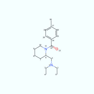 CCN(CC)CC1CCCCN1C(=O)c1ccc(C)cc1